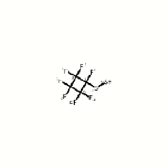 FC1(F)C(F)(F)C(F)(SS)C1(F)F